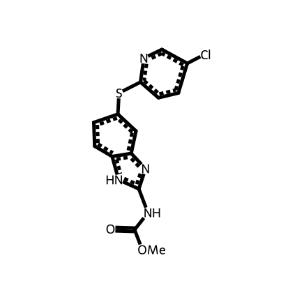 COC(=O)Nc1nc2cc(Sc3ccc(Cl)cn3)ccc2[nH]1